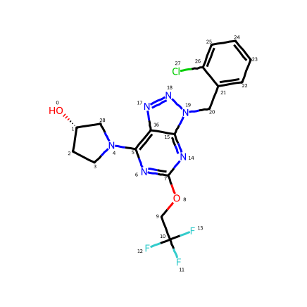 O[C@H]1CCN(c2nc(OCC(F)(F)F)nc3c2nnn3Cc2ccccc2Cl)C1